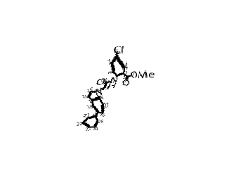 COC(=O)c1cc(Cl)ccc1NC(=O)Cn1ccc2cc(-c3ccccc3)ccc21